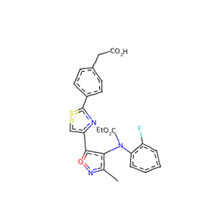 CCOC(=O)N(c1ccccc1F)c1c(C)noc1-c1csc(-c2ccc(CC(=O)O)cc2)n1